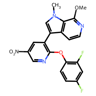 COc1nccc2c(-c3cc([N+](=O)[O-])cnc3Oc3ccc(F)cc3F)cn(C)c12